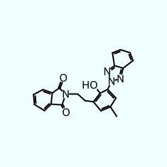 Cc1cc(CCN2C(=O)c3ccccc3C2=O)c(O)c(-n2nc3ccccc3n2)c1